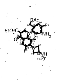 CCOC(=O)c1cn(-c2cc(N)c(F)cc2COC(C)=O)c2c(Cl)c(N3CC(NC(C)C)C3)c(F)cc2c1=O